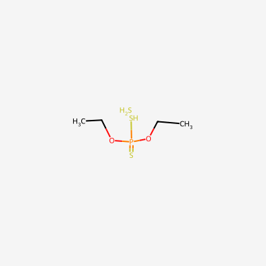 CCOP(=S)(S)OCC.S